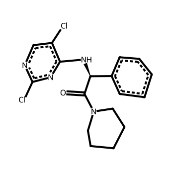 O=C([C@@H](Nc1nc(Cl)ncc1Cl)c1ccccc1)N1CCCCC1